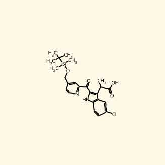 CC(C(=O)O)c1c(C(=O)c2cc(CO[Si](C)(C)C(C)(C)C)ccn2)[nH]c2ccc(Cl)cc12